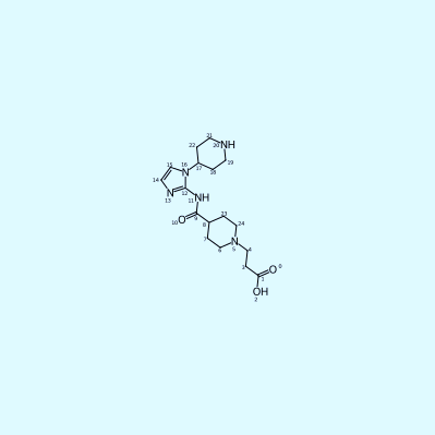 O=C(O)CCN1CCC(C(=O)Nc2nccn2C2CCNCC2)CC1